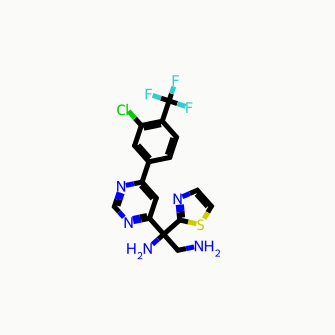 NCC(N)(c1cc(-c2ccc(C(F)(F)F)c(Cl)c2)ncn1)c1nccs1